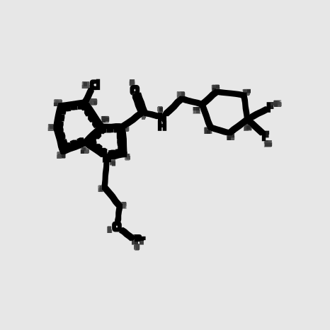 CC(C)OCCn1cc(C(=O)NCC2CCC(F)(F)CC2)c2c(Cl)cccc21